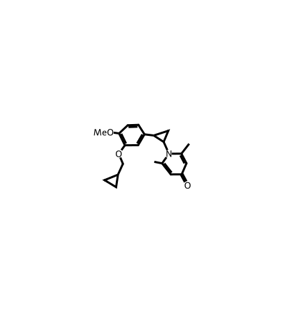 COc1ccc(C2CC2n2c(C)cc(=O)cc2C)cc1OCC1CC1